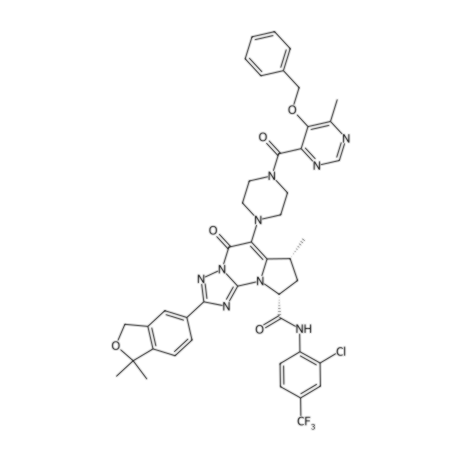 Cc1ncnc(C(=O)N2CCN(c3c4n(c5nc(-c6ccc7c(c6)COC7(C)C)nn5c3=O)[C@@H](C(=O)Nc3ccc(C(F)(F)F)cc3Cl)C[C@H]4C)CC2)c1OCc1ccccc1